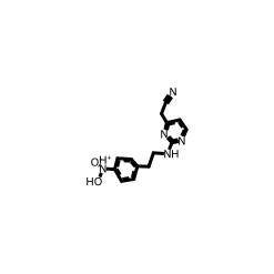 N#CCc1ccnc(NCCc2ccc([NH+]([O-])O)cc2)n1